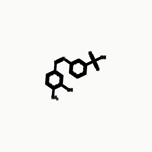 Nc1ccc(/N=N\c2cccc(S(=O)(=O)O)c2)cc1O